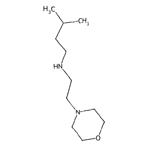 CC(C)CCNCCN1CCOCC1